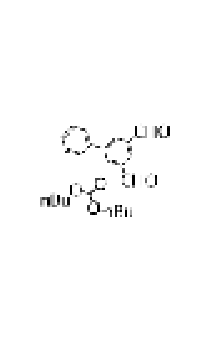 CCCCOC(=O)OCCCC.O=Cc1cc(C=O)cc(-c2ccccc2)c1